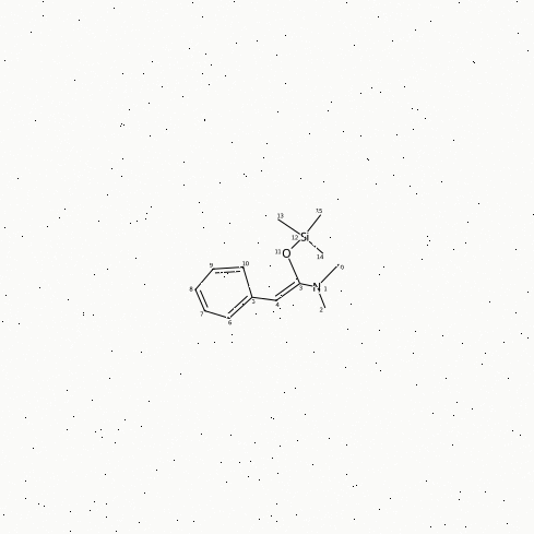 CN(C)/C(=C/c1ccccc1)O[Si](C)(C)C